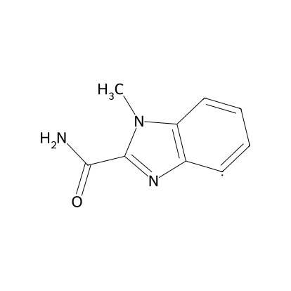 Cn1c(C(N)=O)nc2[c]cccc21